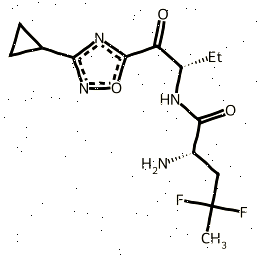 CC[C@H](NC(=O)[C@@H](N)CC(C)(F)F)C(=O)c1nc(C2CC2)no1